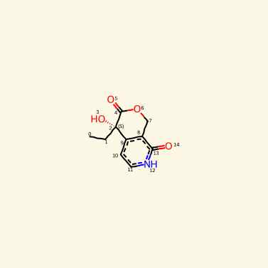 CC[C@@]1(O)C(=O)OCc2c1cc[nH]c2=O